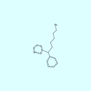 CC(=O)CCCCCC(c1ccccc1)c1cccnc1